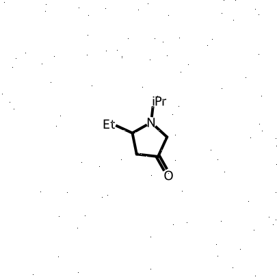 CCC1CC(=O)CN1C(C)C